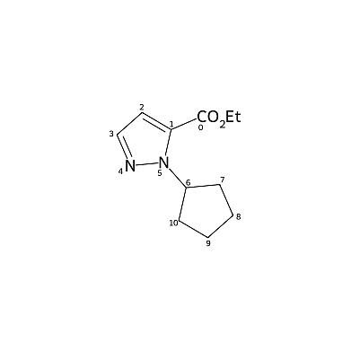 CCOC(=O)c1ccnn1C1CCCC1